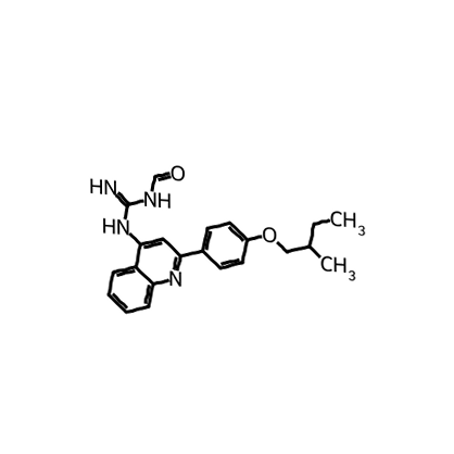 CCC(C)COc1ccc(-c2cc(NC(=N)NC=O)c3ccccc3n2)cc1